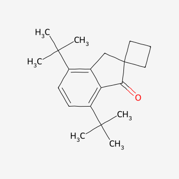 CC(C)(C)c1ccc(C(C)(C)C)c2c1CC1(CCC1)C2=O